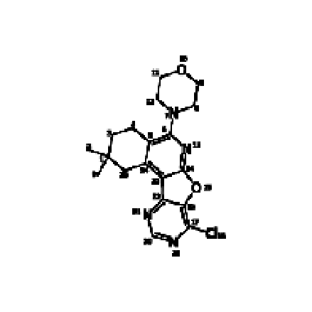 CC1(C)CCc2c(N3CCOCC3)nc3oc4c(Cl)ncnc4c3c2C1